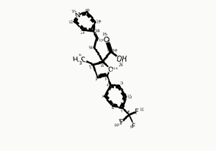 CC1C=C(c2ccc(C(F)(F)F)cc2)OC1(CCc1ccncc1)C(=O)O